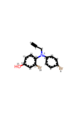 C#CCN(c1ccc(Br)cc1)c1ccc(O)cc1Br